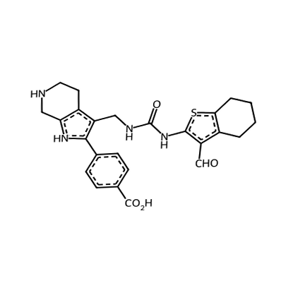 O=Cc1c(NC(=O)NCc2c(-c3ccc(C(=O)O)cc3)[nH]c3c2CCNC3)sc2c1CCCC2